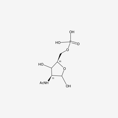 CC(=O)N[C@@H]1C(O)O[C@H](COP(=O)(O)O)C1O